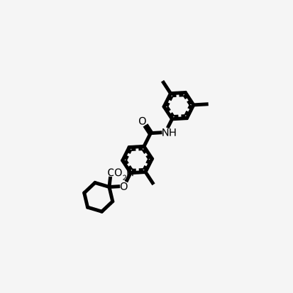 Cc1cc(C)cc(NC(=O)c2ccc(OC3(C(=O)O)CCCCC3)c(C)c2)c1